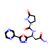 NC(=O)C[C@H](NC(=O)[C@@H]1CCC(=O)N1)c1nnc(-c2cnccn2)o1